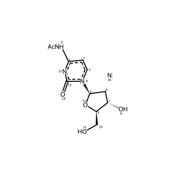 CC(=O)Nc1ccn([C@H]2C[C@H](O)[C@@H](CO)O2)c(=O)n1.[N]